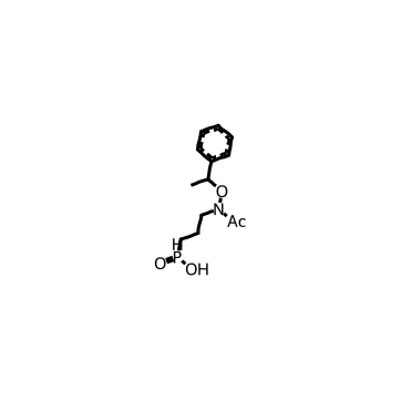 CC(=O)N(CCC[PH](=O)O)OC(C)c1ccccc1